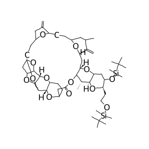 C=C1CC2CC[C@@]34CC5OC6C(O3)[C@H]3OC(CCC3O[C@H]6C5O4)CC(=O)OC3[C@H](C[C@H]4OC(CCC1O2)CC(C)C4=C)OC1CC(O[Si](C)(C)C(C)(C)C)[C@@H](CCO[Si](C)(C)C(C)(C)C)O[C@H]1[C@@H]3C